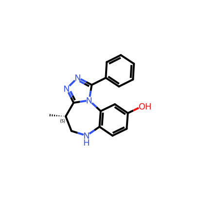 C[C@H]1CNc2ccc(O)cc2-n2c(-c3ccccc3)nnc21